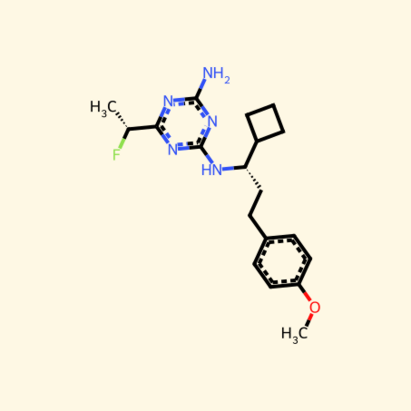 COc1ccc(CC[C@H](Nc2nc(N)nc([C@@H](C)F)n2)C2CCC2)cc1